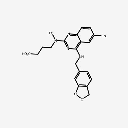 CCN(CCCC(=O)O)c1nc(NCc2ccc3c(c2)OOC3)c2cc(C#N)ccc2n1